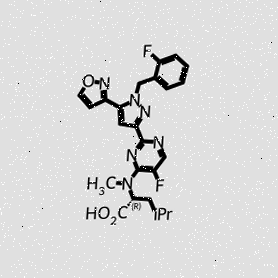 CC(C)C[C@H](C(=O)O)N(C)c1nc(-c2cc(-c3ccon3)n(Cc3ccccc3F)n2)ncc1F